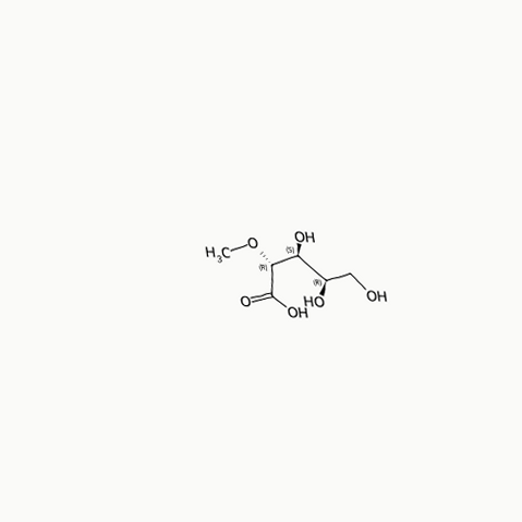 CO[C@@H](C(=O)O)[C@@H](O)[C@H](O)CO